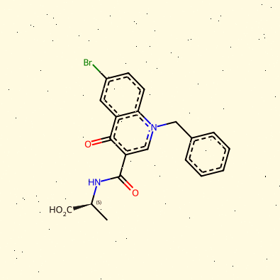 C[C@H](NC(=O)c1cn(Cc2ccccc2)c2ccc(Br)cc2c1=O)C(=O)O